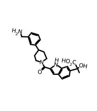 CC(O)(C(=O)O)c1ccc2cc(C(=O)N3CCC(c4cccc(CN)c4)CC3)[nH]c2c1